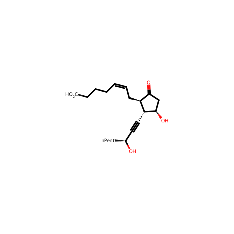 CCCCC[C@H](O)C#C[C@H]1[C@H](O)CC(=O)[C@@H]1C/C=C\CCCC(=O)O